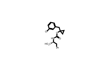 CC(C)C[C@H](NC(=O)OC1(Cc2cccc(Cl)c2)CC1)C(=O)O